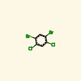 Clc1cc(Cl)c(Br)cc1Br